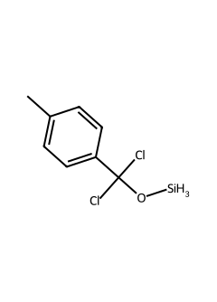 Cc1ccc(C(Cl)(Cl)O[SiH3])cc1